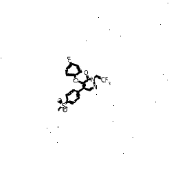 CS(=O)(=O)c1ccc(-c2cnn(CC(F)(F)F)c(=O)c2Oc2ccc(F)cc2)cc1